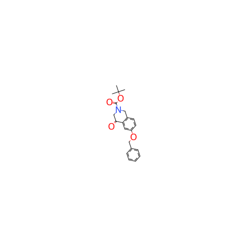 CC(C)(C)OC(=O)N1CC(=O)c2cc(OCc3ccccc3)ccc2C1